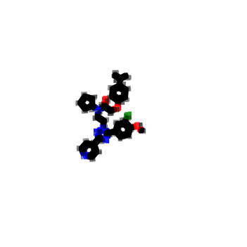 COc1ccc(-c2nc(-c3ccncc3)nn2CCN(C(=O)COc2ccc(C(C)C)cc2)C2CCCC2)cc1Cl